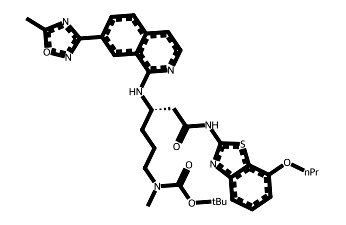 CCCOc1cccc2nc(NC(=O)C[C@H](CCCN(C)C(=O)OC(C)(C)C)Nc3nccc4ccc(-c5noc(C)n5)cc34)sc12